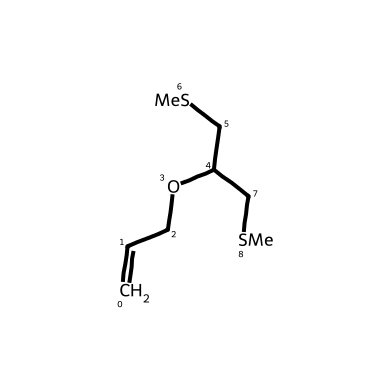 C=CCOC(CSC)CSC